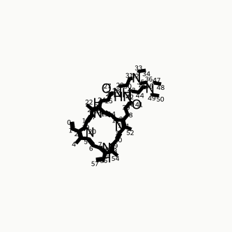 C=CC1=C(C)c2cc3[nH]c(cc4nc(cc5[nH]c(cc1n2)c(C)c5CCC(=O)NCCCN(CC)CC)C(CCC(=O)NCCCN(CC)CC)=C4C)c(C)c3C=C